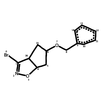 BrC1=NOC2CC(OCc3ccccc3)CC12